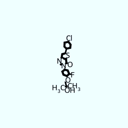 CC(C)(O)COc1ccc(-n2cnc3cc(-c4ccc(Cl)cc4)sc3c2=O)cc1F